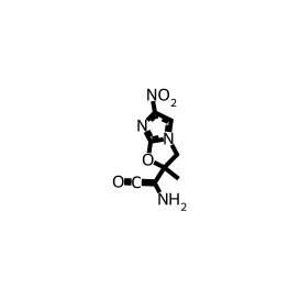 CC1(C(N)=C=O)Cn2cc([N+](=O)[O-])nc2O1